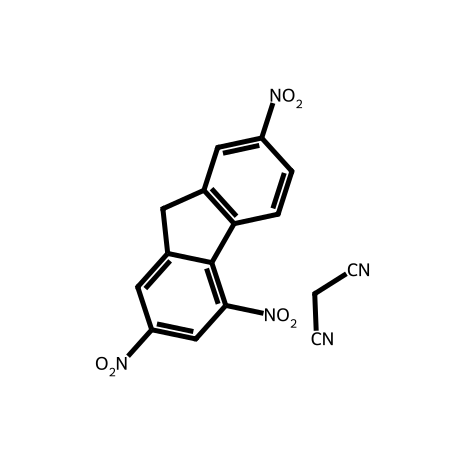 N#CCC#N.O=[N+]([O-])c1ccc2c(c1)Cc1cc([N+](=O)[O-])cc([N+](=O)[O-])c1-2